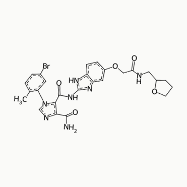 Cc1ccc(Br)cc1-n1cnc(C(N)=O)c1C(=O)Nc1nc2cc(OCC(=O)NCC3CCCO3)ccc2[nH]1